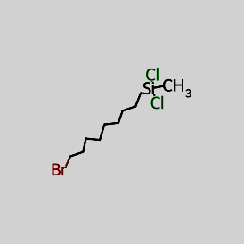 C[Si](Cl)(Cl)CCCCCCCCCBr